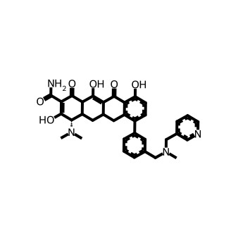 CN(Cc1cccnc1)Cc1cccc(-c2ccc(O)c3c2CC2CC4C(C(=O)C(C(N)=O)=C(O)[C@H]4N(C)C)C(O)=C2C3=O)c1